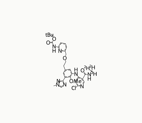 [2H]C([2H])([2H])NC(=O)c1cnc(Cl)cc1Nc1cc(CCOCc2cccc(NC(=O)OC(C)(C)C)n2)cc(-c2ncn(C)n2)c1OC